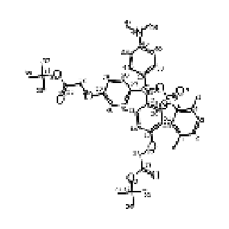 Cc1ccc(C)c(S(=O)(=O)OS(c2ccc(OCC(=O)OC(C)(C)C)cc2)(c2ccc(OCC(=O)OC(C)(C)C)cc2)c2ccc(N(C)C)cc2)c1